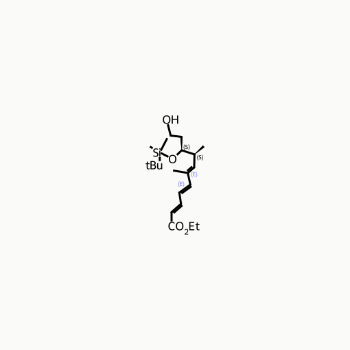 CCOC(=O)C=C/C=C/C(C)=C/[C@H](C)[C@H](CCO)O[Si](C)(C)C(C)(C)C